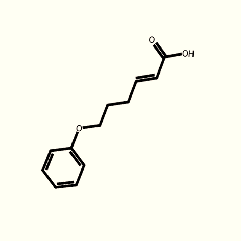 O=C(O)/C=C/CCCOc1ccccc1